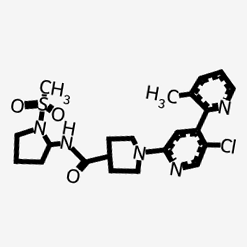 Cc1cccnc1-c1cc(N2CCC(C(=O)NC3CCCN3S(C)(=O)=O)CC2)ncc1Cl